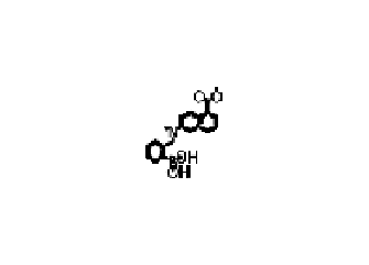 COC(=O)c1cccc2cc(N(C)Cc3ccccc3B(O)O)ccc12